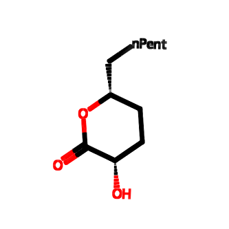 CCCCCC[C@@H]1CC[C@H](O)C(=O)O1